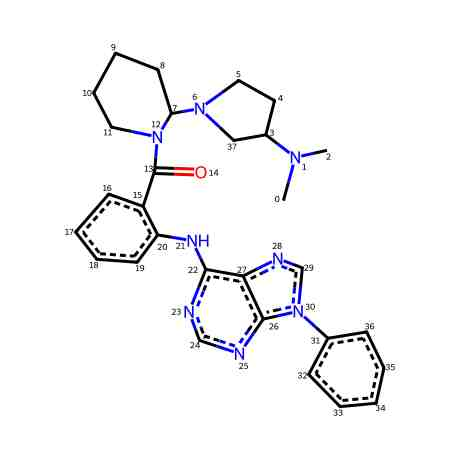 CN(C)C1CCN(C2CCCCN2C(=O)c2ccccc2Nc2ncnc3c2ncn3-c2ccccc2)C1